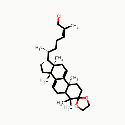 CC(=CCC[C@@H](C)[C@H]1CC[C@@]2(C)C3=CCC4C(C)(C)C5(CC[C@]4(C)C3=CC[C@]12C)OCCO5)CO